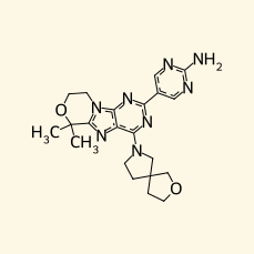 CC1(C)OCCn2c1nc1c(N3CCC4(CCOC4)C3)nc(-c3cnc(N)nc3)nc12